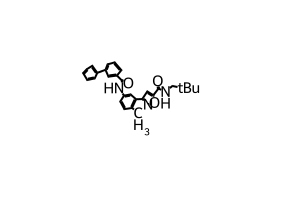 Cc1ccc(NC(=O)c2cccc(-c3ccccc3)c2)cc1-c1cc(C(=O)NCC(C)(C)C)on1